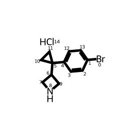 Brc1ccc(C2(C3CNC3)CC2)cc1.Cl